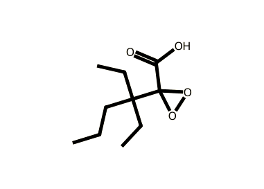 CCCC(CC)(CC)C1(C(=O)O)OO1